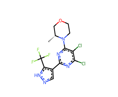 C[C@@H]1COCCN1c1nc(-c2cn[nH]c2C(F)(F)F)nc(Cl)c1Cl